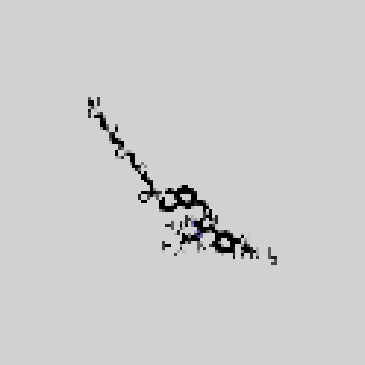 C=N/C(N)=C1/C(c2ccc3oc(N)nc3c2)=NN(Cc2ccc3c(c2)CCN(C(=O)CCOCCOCCOCCOCC)C3)/C1=N/C